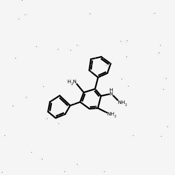 NNc1c(N)cc(-c2ccccc2)c(N)c1-c1ccccc1